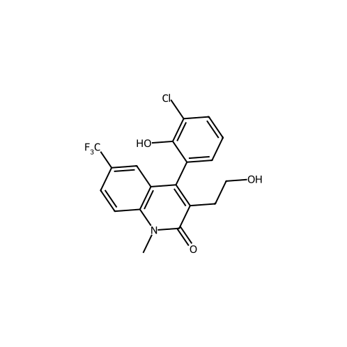 Cn1c(=O)c(CCO)c(-c2cccc(Cl)c2O)c2cc(C(F)(F)F)ccc21